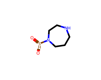 O=[SH](=O)N1CCCNCC1